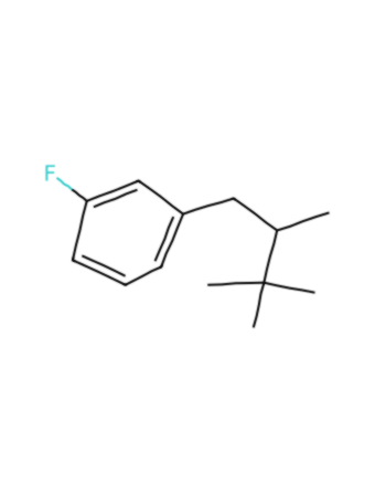 CC(Cc1cccc(F)c1)C(C)(C)C